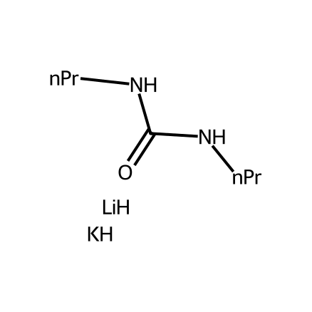 CCCNC(=O)NCCC.[KH].[LiH]